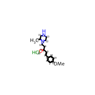 COc1ccc(C=CC(=O)CCN2CCNCC2C)cc1.Cl